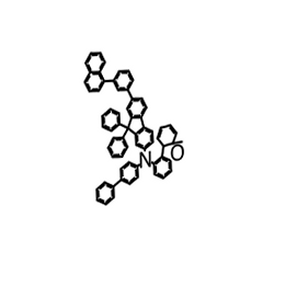 CC12C=CC=CC1c1c(cccc1N(c1ccc(-c3ccccc3)cc1)c1ccc3c(c1)C(c1ccccc1)(c1ccccc1)c1cc(-c4cccc(-c5cccc6ccccc56)c4)ccc1-3)O2